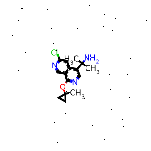 CC1(Oc2ncc(C(C)(C)N)c3cc(Cl)ncc23)CC1